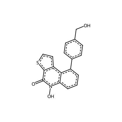 O=c1c2sccc2c2c(-c3ccc(CO)cc3)cccc2n1O